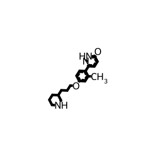 Cc1cc(OCCCC2CCCNC2)ccc1-c1ccc(=O)[nH]n1